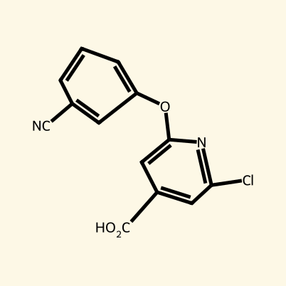 N#Cc1cccc(Oc2cc(C(=O)O)cc(Cl)n2)c1